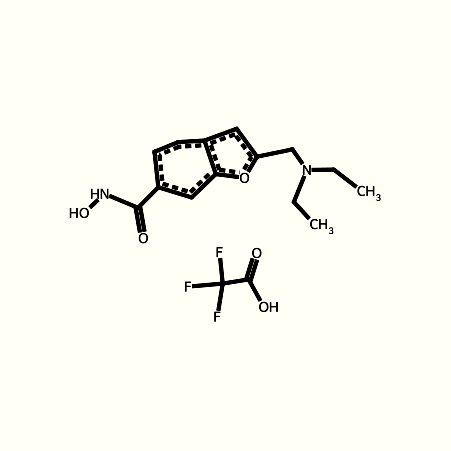 CCN(CC)Cc1cc2ccc(C(=O)NO)cc2o1.O=C(O)C(F)(F)F